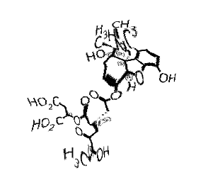 Cc1ccc(O)c2c1[C@]13CCN(C)[C@H](C)[C@]1(O)CC=C(OC(=O)C[C@H](CC(=O)[C@H](C)O)C(=O)O[C@H](CC(=O)O)C(=O)O)[C@@H]3O2